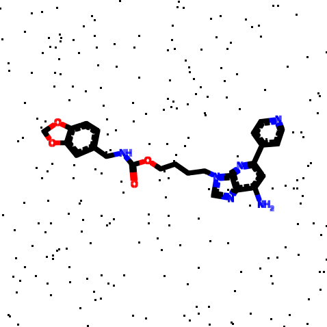 Nc1cc(-c2ccncc2)nc2c1ncn2CCCCOC(=O)NCc1ccc2c(c1)OCO2